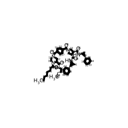 CCCCCCCC(=O)N1CCN(C(=O)c2ccc(C(=O)N3C[C@@H](C(=O)N[C@H]4C[C@@H]4c4ccccc4)[C@H](C(=O)N[C@H]4C[C@@H]4c4ccccc4)C3)cc2)CC1C(=O)NCCCC